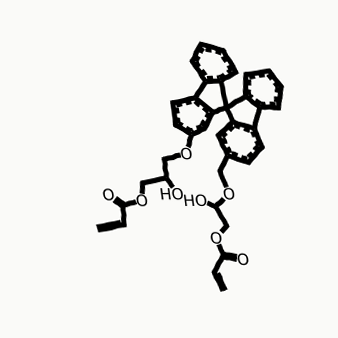 C=CC(=O)OCC(O)COc1ccc2c(c1)C1(c3ccccc3-c3ccc(COC(O)COC(=O)C=C)cc31)c1ccccc1-2